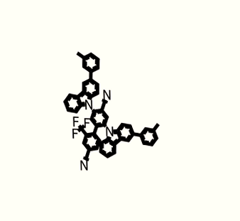 Cc1cccc(-c2ccc3c(c2)c2ccccc2n3-c2cc(-c3ccc(C#N)cc3C(F)(F)F)c(-n3c4ccccc4c4cc(-c5cccc(C)c5)ccc43)cc2C#N)c1